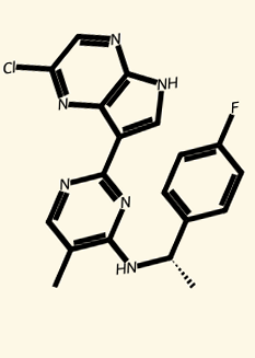 Cc1cnc(-c2c[nH]c3ncc(Cl)nc23)nc1N[C@@H](C)c1ccc(F)cc1